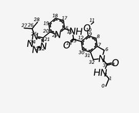 CCNC(=O)N1Cc2cc(OC)c(C(=O)Nc3cccc(-c4nnnn4C(C)C)n3)cc2C1